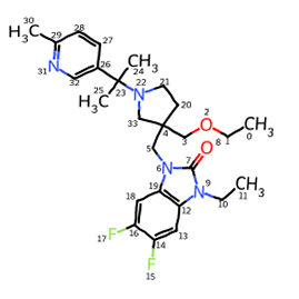 CCOCC1(Cn2c(=O)n(CC)c3cc(F)c(F)cc32)CCN(C(C)(C)c2ccc(C)nc2)C1